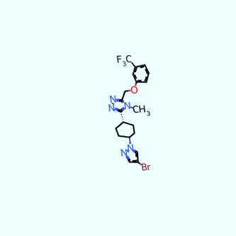 Cn1c(COc2cccc(C(F)(F)F)c2)nnc1[C@H]1CC[C@H](n2cc(Br)cn2)CC1